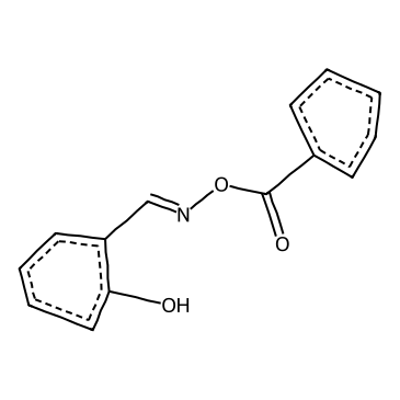 O=C(ON=Cc1ccccc1O)c1ccccc1